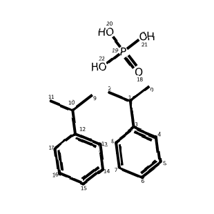 CC(C)c1ccccc1.CC(C)c1ccccc1.O=P(O)(O)O